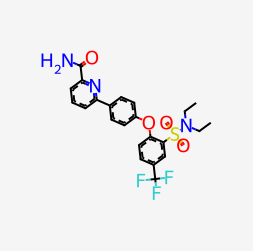 CCN(CC)S(=O)(=O)c1cc(C(F)(F)F)ccc1Oc1ccc(-c2cccc(C(N)=O)n2)cc1